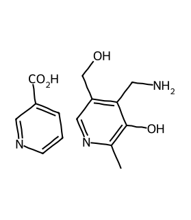 Cc1ncc(CO)c(CN)c1O.O=C(O)c1cccnc1